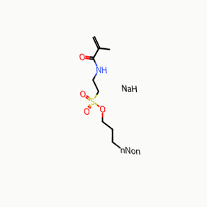 C=C(C)C(=O)NCCS(=O)(=O)OCCCCCCCCCCCC.[NaH]